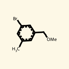 COCc1cc(C)cc(Br)c1